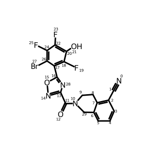 N#Cc1cccc2c1CCN(C(=O)c1noc(-c3c(F)c(O)c(F)c(F)c3Br)n1)C2